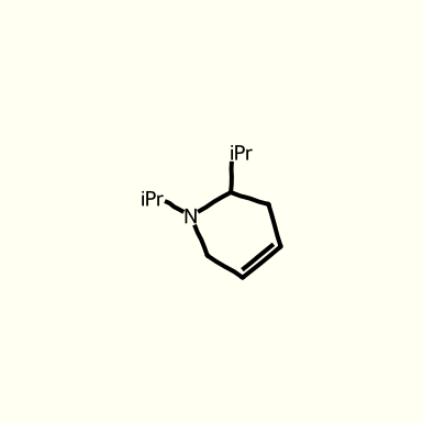 CC(C)C1CC=CCN1C(C)C